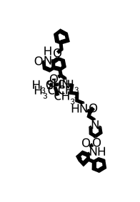 CC(C)(C)[Si](C)(C)OC(CNCCCCCNC(=O)CCN1CCC(OC(=O)Nc2ccccc2-c2ccccc2)CC1)c1ccc(OCc2ccccc2)c2[nH]c(=O)ccc12